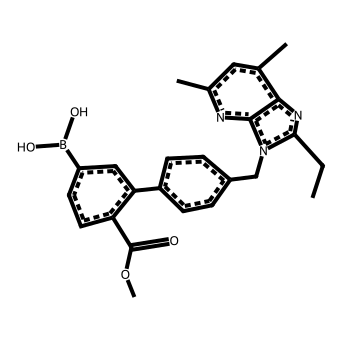 CCc1nc2c(C)cc(C)nc2n1Cc1ccc(-c2cc(B(O)O)ccc2C(=O)OC)cc1